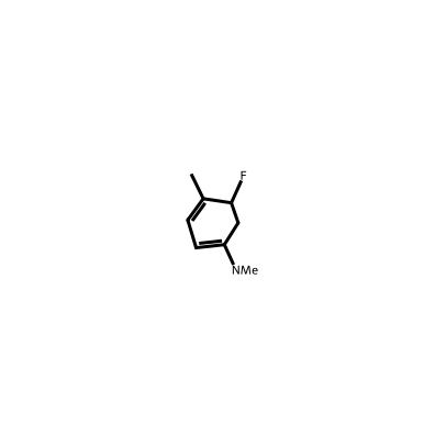 CNC1=CC=C(C)C(F)C1